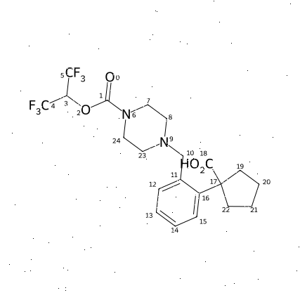 O=C(OC(C(F)(F)F)C(F)(F)F)N1CCN(Cc2ccccc2C2(C(=O)O)CCCC2)CC1